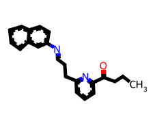 CCCC(=O)c1cccc(CCC=Nc2ccc3ccccc3c2)n1